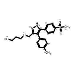 Cc1ccc(-c2c(COCCCO)n[nH]c2-c2ccc(S(C)(=O)=O)cc2)cc1